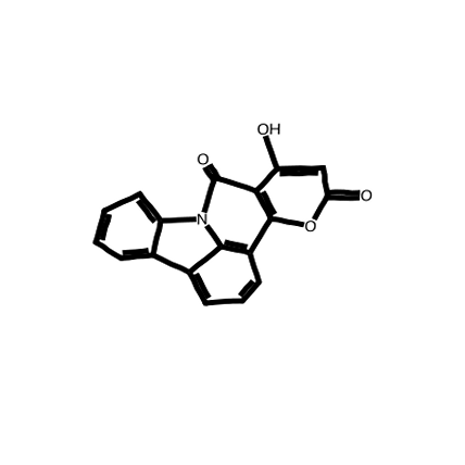 O=c1cc(O)c2c(=O)n3c4ccccc4c4cccc(c2o1)c43